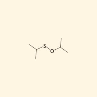 CC(C)OSC(C)C